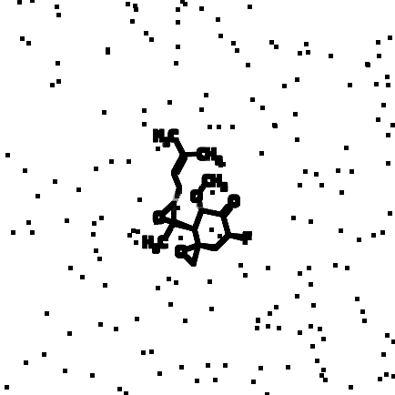 CO[C@@H]1C(=O)[C@@H](F)C[C@]2(CO2)[C@H]1C1(C)O[C@@H]1CC=C(C)C